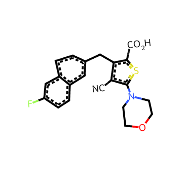 N#Cc1c(N2CCOCC2)sc(C(=O)O)c1Cc1ccc2cc(F)ccc2c1